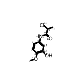 COc1ccc(NC(=O)C(C)Cl)cc1O